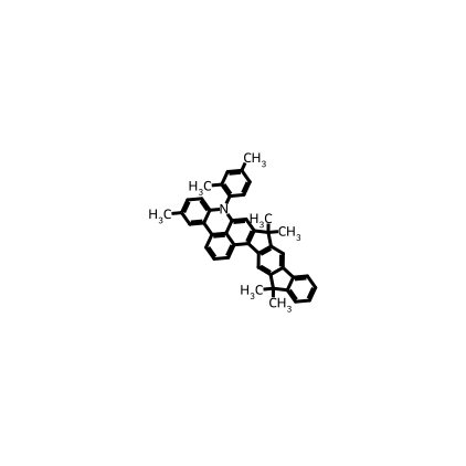 Cc1ccc(N2c3ccc(C)cc3-c3cccc4c5c(cc2c34)C(C)(C)c2cc3c(cc2-5)C(C)(C)c2ccccc2-3)c(C)c1